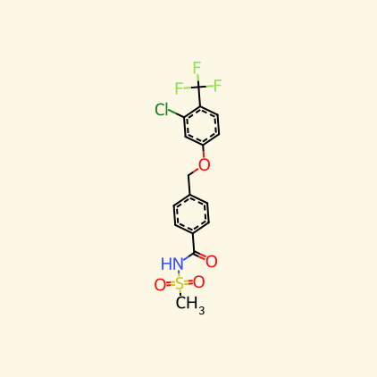 CS(=O)(=O)NC(=O)c1ccc(COc2ccc(C(F)(F)F)c(Cl)c2)cc1